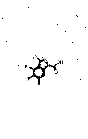 Cc1cc2c(c(N)nn2C(=O)O)c(Br)c1Cl